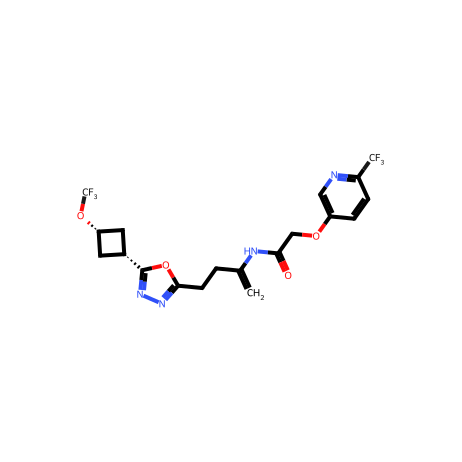 C=C(CCc1nnc([C@H]2C[C@@H](OC(F)(F)F)C2)o1)NC(=O)COc1ccc(C(F)(F)F)nc1